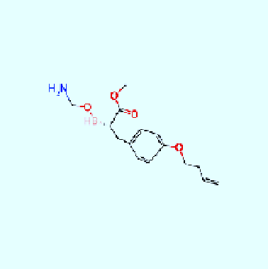 C=CCCOc1ccc(C[C@H](BOCN)C(=O)OC)cc1